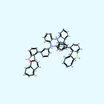 c1cc(-c2cccc3oc4c5ccccc5ccc4c23)cc(N(c2ccc(-c3cccc4sc5ccccc5c34)cc2)c2ccccc2-n2c3ccccc3c3ccccc32)c1